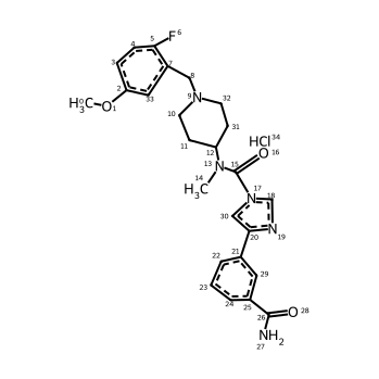 COc1ccc(F)c(CN2CCC(N(C)C(=O)n3cnc(-c4cccc(C(N)=O)c4)c3)CC2)c1.Cl